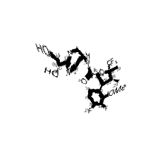 COc1c([C@H]2[C@H](C(=O)Nc3cnc([C@H](O)CO)nc3)O[C@@](C)(C(F)(F)F)[C@H]2C)ccc(F)c1F